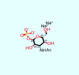 CC(=O)N[C@@H]1[C@@H](O)[C@@H](OP(=O)([O-])[O-])O[C@H](CO)[C@H]1O.[Na+].[Na+]